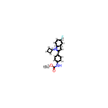 CC(C)(C)OC(=O)Nc1ccc(-c2cc3cc(F)ccc3n2C2CCC2)cc1